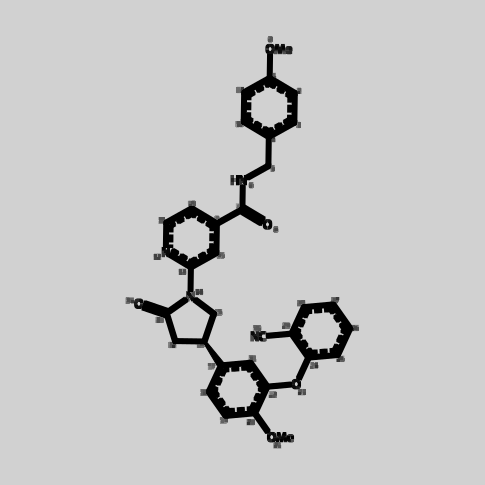 COc1ccc(CNC(=O)c2ccnc(N3C[C@@H](c4ccc(OC)c(Oc5ccccc5C#N)c4)CC3=O)c2)cc1